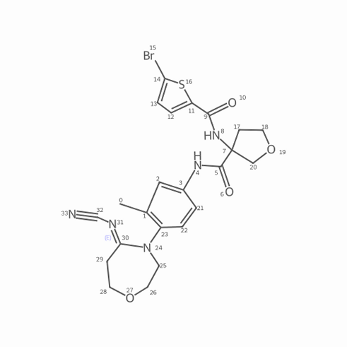 Cc1cc(NC(=O)C2(NC(=O)c3ccc(Br)s3)CCOC2)ccc1N1CCOCC/C1=N\C#N